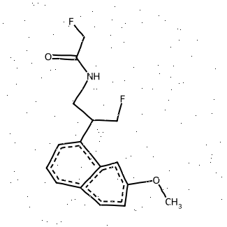 COc1ccc2cccc(C(CF)CNC(=O)CF)c2c1